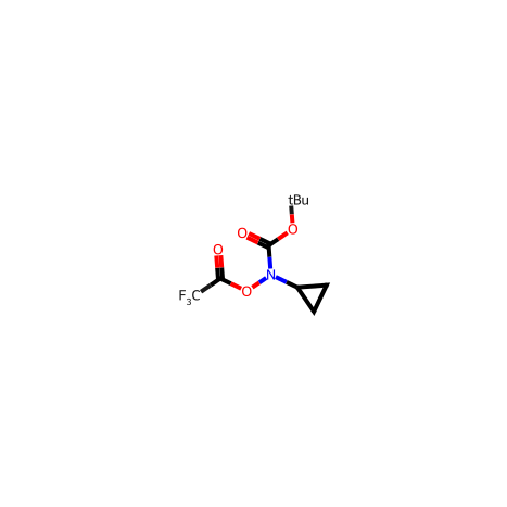 CC(C)(C)OC(=O)N(OC(=O)C(F)(F)F)C1CC1